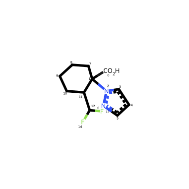 O=C(O)C1(n2cccn2)CCCCC1C(F)F